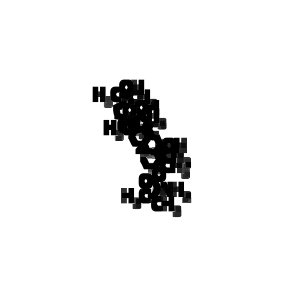 CC(C)[C@@H](N)C(=O)O[C@H]1CC[C@]23CC24CC[C@]2(C)[C@@H]([C@@]5(C)CC[C@@H](C(C)(C)O)O5)[C@@H](O)C[C@@]2(C)C4C[C@H](O)[C@H]3C1(C)C